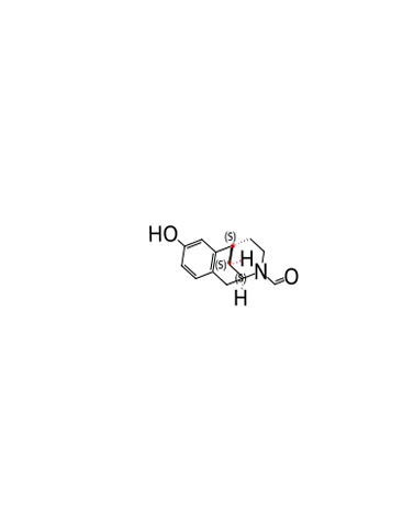 O=CN1CC[C@@]23CCCC[C@@H]2[C@@H]1Cc1ccc(O)cc13